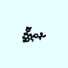 C=CC(=O)N(C)C1CCN(c2nc(Nc3cnn(C)c3)c3c(c2F)CNC3=O)C1